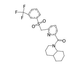 O=C(c1cccc(CS(=O)(=O)c2cccc(C(F)(F)F)c2)n1)N1CCCC2CCCCC21